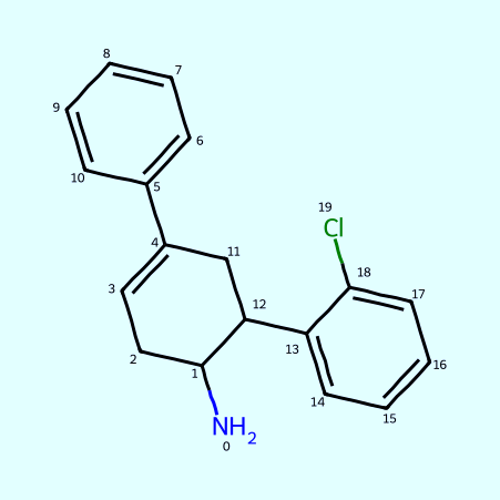 NC1CC=C(c2ccccc2)CC1c1ccccc1Cl